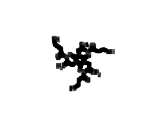 C=C(Cn1c(=O)n(CC(=C)OC(=O)CCS)c(=O)n(CC(=C)OC(=O)CCS)c1=O)OC(=O)CCS